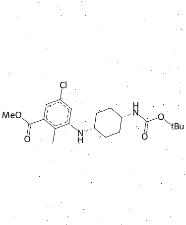 COC(=O)c1cc(Cl)cc(N[C@H]2CC[C@@H](NC(=O)OC(C)(C)C)CC2)c1C